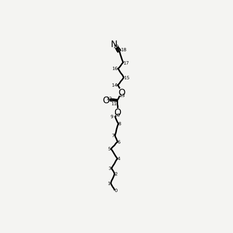 CCCCCCCCCCOC(=O)OCCCCC#N